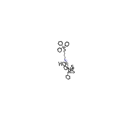 O=C(C[C@H](O)/C=C/CCCCSC(c1ccccc1)(c1ccccc1)c1ccccc1)N1C(=S)SC[C@H]1Cc1ccccc1